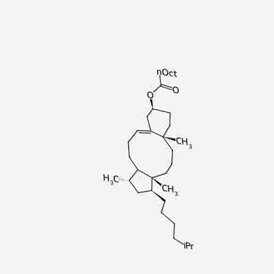 CCCCCCCCC(=O)O[C@H]1CC[C@]2(C)CCC[C@@]3(C)C(CC/C=C\2C1)[C@@H](C)C[C@@H]3CCCCC(C)C